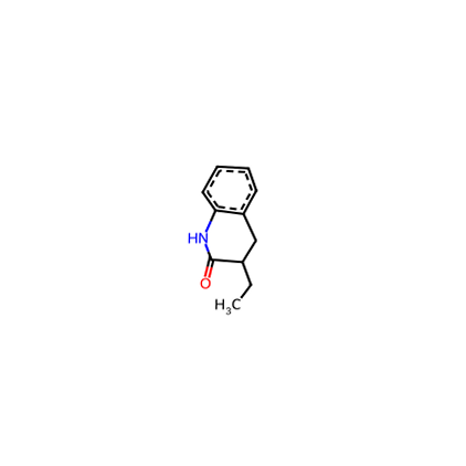 CCC1Cc2ccccc2NC1=O